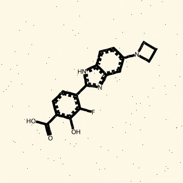 O=C(O)c1ccc(-c2nc3cc(N4CCC4)ccc3[nH]2)c(F)c1O